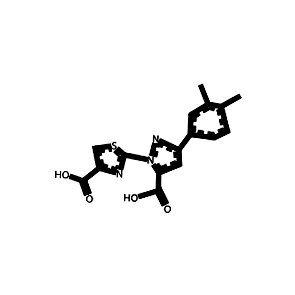 Cc1ccc(-c2cc(C(=O)O)n(-c3nc(C(=O)O)cs3)n2)cc1C